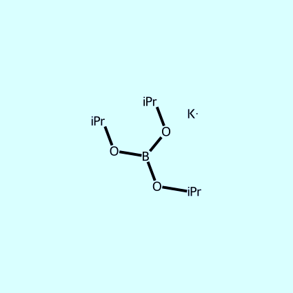 CC(C)OB(OC(C)C)OC(C)C.[K]